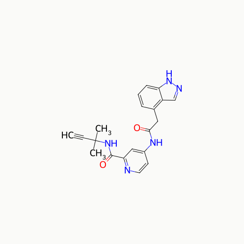 C#CC(C)(C)NC(=O)c1cc(NC(=O)Cc2cccc3[nH]ncc23)ccn1